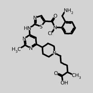 Cc1nc(Nc2ncc(C(=O)N(Cl)c3ccccc3CN)s2)cc(C2CCN(CCCC(C)C(=O)O)CC2)n1